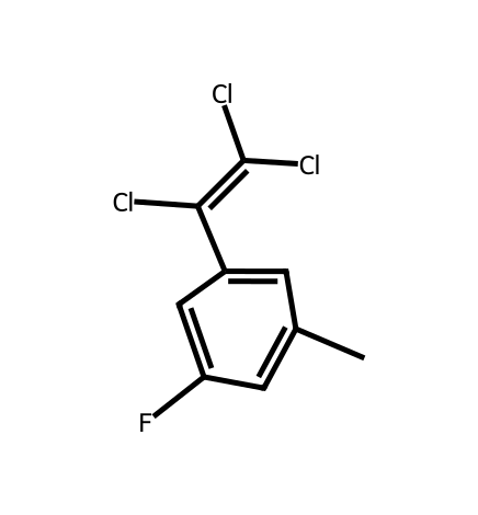 Cc1cc(F)cc(C(Cl)=C(Cl)Cl)c1